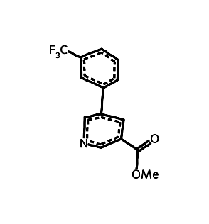 COC(=O)c1cncc(-c2cccc(C(F)(F)F)c2)c1